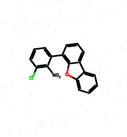 O=[N+]([O-])c1c(Cl)cccc1-c1cccc2c1oc1ccccc12